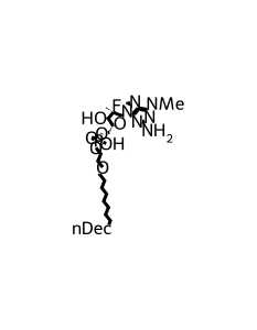 CCCCCCCCCCCCCCCCCCOCCOP(=O)(O)OC[C@H]1O[C@@H](n2cnc3c(NC)nc(N)nc32)[C@](C)(F)[C@@H]1O